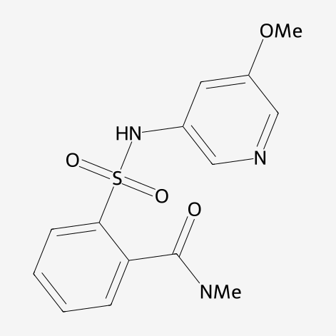 CNC(=O)c1ccccc1S(=O)(=O)Nc1cncc(OC)c1